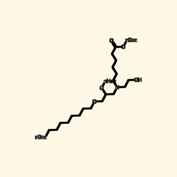 CCCCCCCCCCCCCCCCCCOCC(CN(CCO)CCCCCC(=O)OCCCCCCCCCC)OCCCCCC